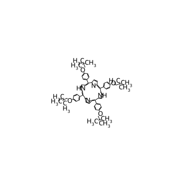 CC(C)(C)COc1ccc(-c2c3nc(c(-c4ccc(OCC(C)(C)C)cc4)c4ccc([nH]4)c(-c4ccc(OCC(C)(C)C)cc4)c4nc(c(-c5ccc(OCC(C)(C)C)cc5)c5ccc2[nH]5)C=C4)C=C3)cc1